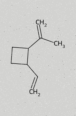 C=CC1CCC1C(=C)C